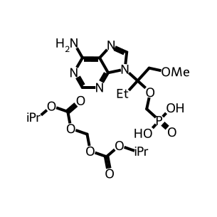 CC(C)OC(=O)OCOC(=O)OC(C)C.CCC(COC)(OCP(=O)(O)O)n1cnc2c(N)ncnc21